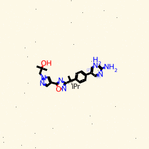 C=C(N)/N=C\C(=C/N)c1ccc([C@](C)(c2noc(-c3cnn(CC(C)(C)O)c3)n2)C(C)C)cc1